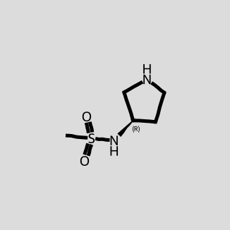 CS(=O)(=O)N[C@@H]1CCNC1